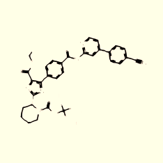 CCOC(=O)c1[nH]c([C@@H]2CCCCN2C(=O)OC(C)(C)C)nc1-c1ccc(C(=O)Nc2cc(-c3ccc(C#N)cc3)ccn2)cc1